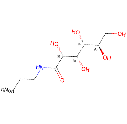 CCCCCCCCCCCNC(=O)[C@H](O)[C@@H](O)[C@H](O)[C@H](O)CO